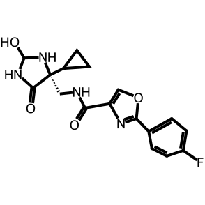 O=C(NC[C@@]1(C2CC2)NC(O)NC1=O)c1coc(-c2ccc(F)cc2)n1